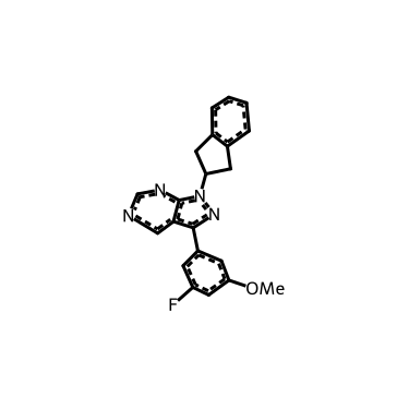 COc1cc(F)cc(-c2nn(C3Cc4ccccc4C3)c3ncncc23)c1